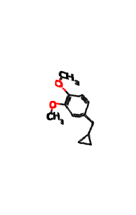 COc1ccc(CC2CC2)cc1OC